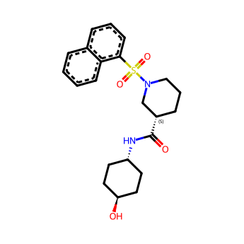 O=C(N[C@H]1CC[C@H](O)CC1)[C@H]1CCCN(S(=O)(=O)c2cccc3ccccc23)C1